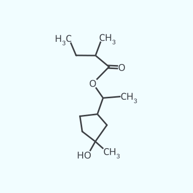 CCC(C)C(=O)OC(C)C1CCC(C)(O)C1